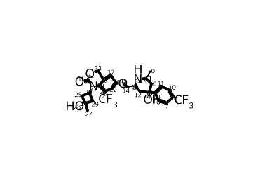 C[C@H]1C[C@@](O)(c2ccc(C(F)(F)F)cc2)C[C@@H](COc2cc3c(c(C(F)(F)F)c2)N(C2CC(C)(O)C2)C(=O)OC3)N1